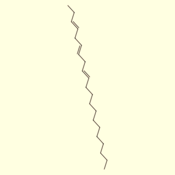 CCC=CCC=CCC=CCCCCCCCCCCC